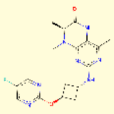 Cc1nc(N[C@H]2C[C@H](Oc3ncc(F)cn3)C2)nc2c1NC(=O)[C@H](C)N2C